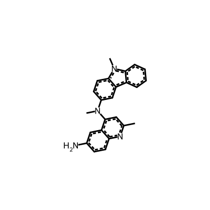 Cc1cc(N(C)c2ccc3c(c2)c2ccccc2n3C)c2cc(N)ccc2n1